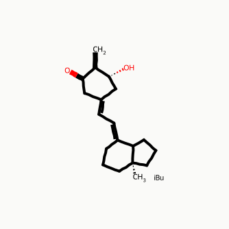 C=C1C(=O)C/C(=C/C=C2\CCC[C@@]3(C)C2CCC3[C@H](C)CC)C[C@H]1O